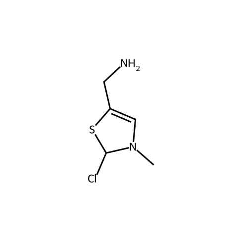 CN1C=C(CN)SC1Cl